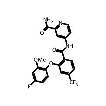 COc1cc(F)ccc1Oc1cc(C(F)(F)F)ccc1C(=O)Nc1ccnc(C(N)=O)c1